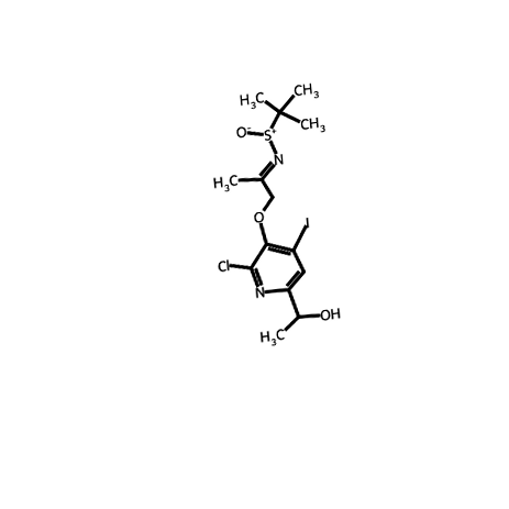 C/C(COc1c(I)cc(C(C)O)nc1Cl)=N\[S+]([O-])C(C)(C)C